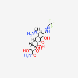 CN(N)c1cc(/C=N/NCC(F)(F)F)c(O)c2c1C[C@H]1C[C@H]3CC(O)=C(C(N)=O)C(=O)[C@@]3(O)C(O)=C1C2=O